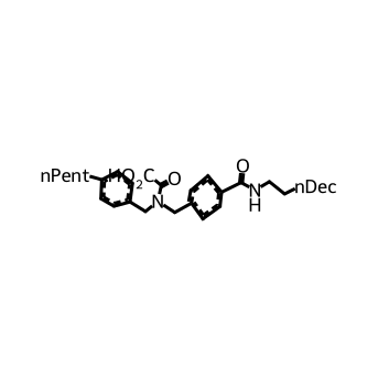 CCCCCCCCCCCCNC(=O)c1ccc(CN(Cc2ccc(CCCCC)cc2)C(=O)C(=O)O)cc1